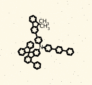 CC1(C)c2ccccc2-c2ccc(-c3ccc(N(c4ccc(-c5ccc(-c6ccccc6)cc5)cc4)c4ccc5c(c4)C4(c6ccccc6-c6ccccc64)c4cccc(-c6ccccc6)c4-5)cc3)cc21